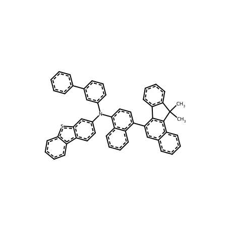 CC1(C)c2ccccc2-c2c(-c3ccc(N(c4cccc(-c5ccccc5)c4)c4ccc5c(c4)sc4ccccc45)c4ccccc34)cc3ccccc3c21